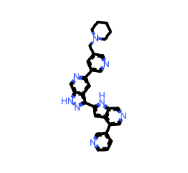 c1cncc(-c2cncc3[nH]c(-c4n[nH]c5cnc(-c6cncc(CN7CCCCC7)c6)cc45)cc23)c1